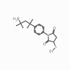 BC(C)(C)CC(C)(C)c1ccc(N2C(=O)CC(SCC)C2=O)cc1